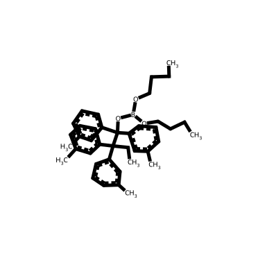 CCCCOB(OCCCC)OC(c1cccc(C)c1)(c1cccc(C)c1)C(CC)(c1cccc(C)c1)c1cccc(C)c1